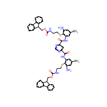 Bc1cc(N)c(SCCNC(=O)OCC2c3ccccc3-c3ccccc32)c(NC(=O)c2cc(C(=O)Nc3cc(B)cc(N)c3SCCNC(=O)OCC3c4ccccc4-c4ccccc43)ncn2)c1